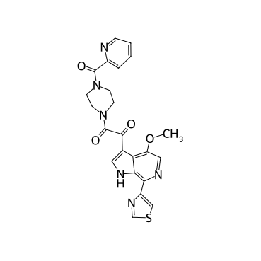 COc1cnc(-c2cscn2)c2[nH]cc(C(=O)C(=O)N3CCN(C(=O)c4ccccn4)CC3)c12